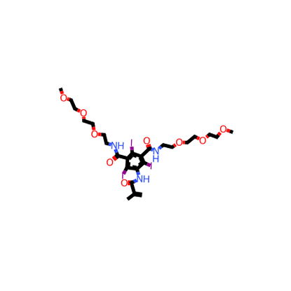 C=C(C)C(=O)Nc1c(I)c(C(=O)NCCOCCOCCOC)c(I)c(C(=O)NCCOCCOCCOC)c1I